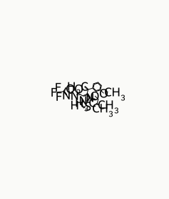 C=C(c1cccc(OC)c1OCC(C)(C)C)c1nc2sccn2c1C(=O)Nc1nc(C(F)(F)F)co1